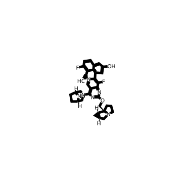 C#Cc1c(F)ccc2cc(O)cc(-c3ncc4c(N5C[C@H]6CC[C@@H](C5)N6)nc(OC[C@@]56CCCN5C[C@H]5C[C@H]56)nc4c3F)c12